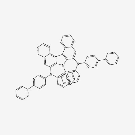 c1ccc(-c2ccc(N(c3ccccc3)c3cc4ccccc4c4c5c6ccccc6cc(N(c6ccccc6)c6ccc(-c7ccccc7)cc6)c5n(-c5ccccc5)c34)cc2)cc1